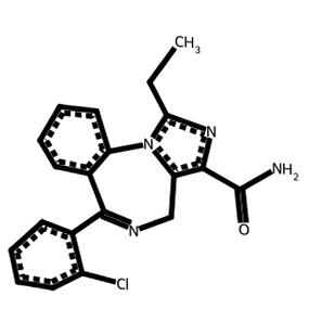 CCc1nc(C(N)=O)c2n1-c1ccccc1C(c1ccccc1Cl)=NC2